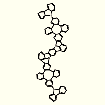 c1ccc2c(c1)-c1ccc(-n3c4ccccc4c4ccccc43)cc1-c1ccccc1-c1cc3c(cc1-2)c1cccc2c4cc5c(cc4n3c12)c1cccc2c3cc4c(cc3n5c21)-c1ccccc1-c1cc(-n2c3ccccc3c3ccccc32)ccc1-c1ccccc1-4